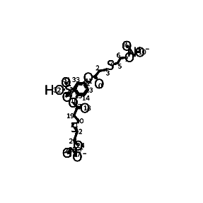 O=C(CCSCCO[N+](=O)[O-])Oc1ccc(OC(=O)CCSCCO[N+](=O)[O-])c(S(=O)(=O)O)c1